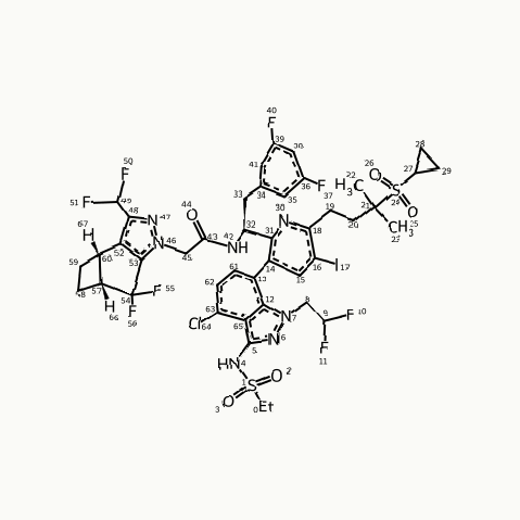 CCS(=O)(=O)Nc1nn(CC(F)F)c2c(-c3cc(I)c(CCC(C)(C)S(=O)(=O)C4CC4)nc3[C@H](Cc3cc(F)cc(F)c3)NC(=O)Cn3nc(C(F)F)c4c3C(F)(F)[C@@H]3CC[C@H]43)ccc(Cl)c12